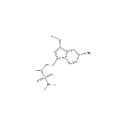 COc1ccc2c(CCN(C)S(=O)(=O)N(C)C)cn(CC(C)C)c2c1